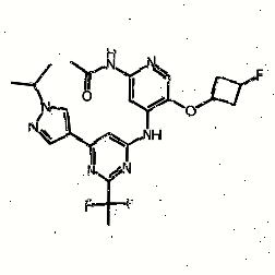 CC(=O)Nc1cc(Nc2cc(-c3cnn(C(C)C)c3)nc(C(C)(F)F)n2)c(OC2CC(F)C2)cn1